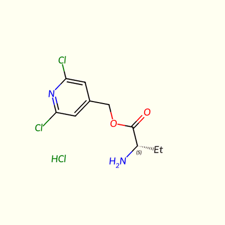 CC[C@H](N)C(=O)OCc1cc(Cl)nc(Cl)c1.Cl